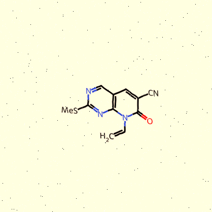 C=Cn1c(=O)c(C#N)cc2cnc(SC)nc21